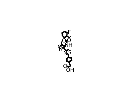 Cc1onc(-c2csc(-c3ccc(CC(=O)O)cc3)n2)c1NC(=O)O[C@H](C)c1ccccc1F